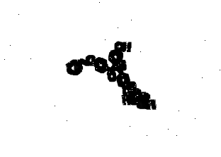 O=C(c1ccc(OCCN2CCCCC2)cc1)c1c(-c2ccc(OP(=O)(O)OP(=O)(O)O)cc2)sc2cc(O)ccc12